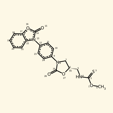 COC(=S)NC[C@H]1CN(c2ccc(-n3c(=O)oc4ccccc43)cc2)C(=O)O1